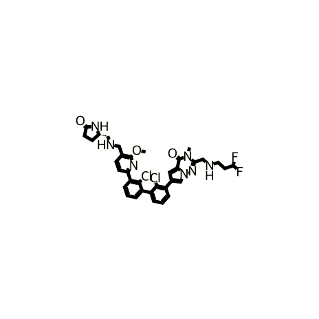 COc1nc(-c2cccc(-c3cccc(-c4cc5c(=O)n(C)c(CNCCC(F)F)nn5c4)c3Cl)c2Cl)ccc1CNC[C@@H]1CCC(=O)N1